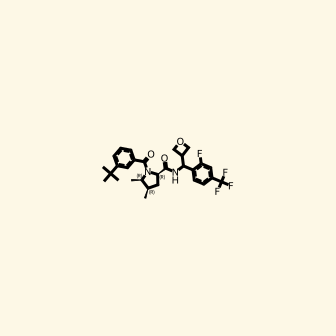 C[C@@H]1C[C@H](C(=O)NC(c2ccc(C(F)(F)F)cc2F)C2COC2)N(C(=O)c2cccc(C(C)(C)C)c2)[C@@H]1C